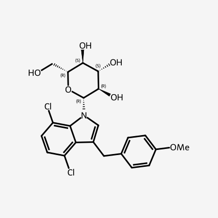 COc1ccc(Cc2cn([C@@H]3O[C@H](CO)[C@@H](O)[C@H](O)[C@H]3O)c3c(Cl)ccc(Cl)c23)cc1